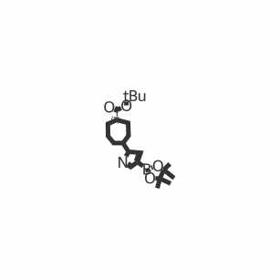 CC(C)(C)OC(=O)[C@H]1CCCC(C2C=C(B3OC(C)(C)C(C)(C)O3)C=N2)CC1